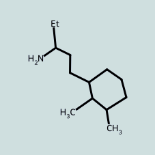 CCC(N)CCC1CCCC(C)C1C